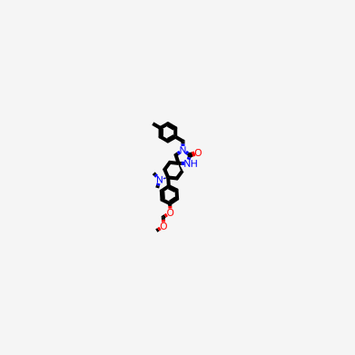 COCOc1ccc([C@]2(N(C)C)CC[C@@]3(CC2)CN(Cc2ccc(C)cc2)C(=O)N3)cc1